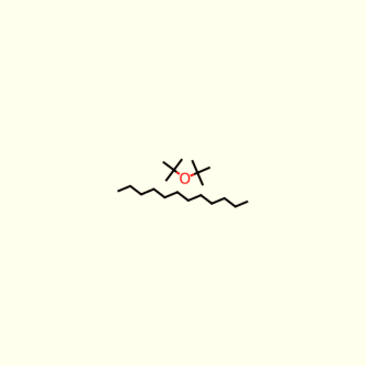 CC(C)(C)OC(C)(C)C.CCCCCCCCCCCC